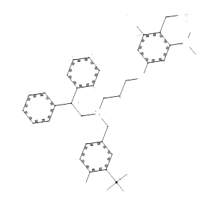 C[S+]([O-])c1cc(OCCCN(Cc2ccc(F)c(C(F)(F)F)c2)CC(c2ccccc2)c2ccccc2)cc(F)c1CO